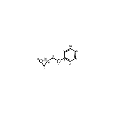 [c]1ccc(OC[C@H]2CO2)cc1